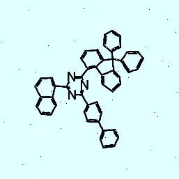 c1ccc(-c2ccc(-c3nc(-c4cccc5c4-c4ccccc4C5(c4ccccc4)c4ccccc4)nc(-c4cccc5ccccc45)n3)cc2)cc1